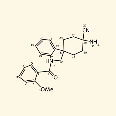 COc1ccccc1C(=O)NCC1(c2ccccc2)CCC(N)(C#N)CC1